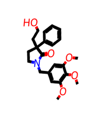 COc1cc(CN2CCC(CCO)(c3ccccc3)C2=O)cc(OC)c1OC